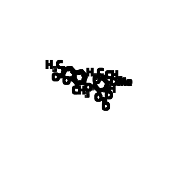 CO[C@@H]1[C@@H]2OC(=O)OC2[C@H](Oc2ccc3cc(C)c(=O)oc3c2C)OC1(C)C